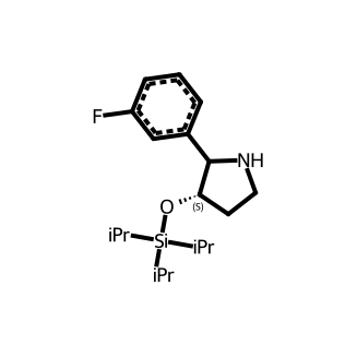 CC(C)[Si](O[C@H]1CCNC1c1cccc(F)c1)(C(C)C)C(C)C